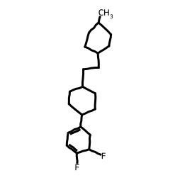 CC1CCC(CCC2CCC(C3=CC=C(F)C(F)C3)CC2)CC1